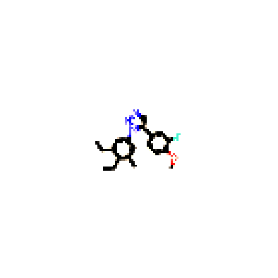 CCc1cc(-n2nncc2-c2ccc(OC)c(F)c2)cc(C)c1CC